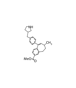 COC(=O)c1ccc2c(c1)CCC(C)C=C2c1ccc(CC2CCNC2)cc1